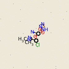 CC(C)n1cc(-c2cc(Cl)ccc2Oc2ccc(S(=O)(=O)Nc3ncns3)cc2C#N)cn1